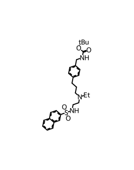 CCN(CCCc1ccc(CNC(=O)OC(C)(C)C)cc1)CCNS(=O)(=O)c1ccc2ccccc2c1